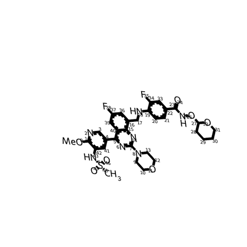 COc1ncc(-c2nc(N3CCOCC3)nc3c(CNc4ccc(C(=O)NOC5CCCCO5)cc4F)cc(F)cc23)cc1NS(C)(=O)=O